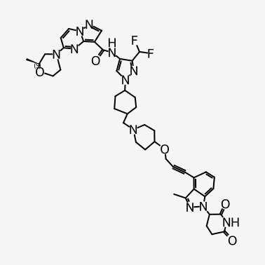 Cc1nn(C2CCC(=O)NC2=O)c2cccc(C#CCOC3CCN(CC4CCC(n5cc(NC(=O)c6cnn7ccc(N8CCO[C@@H](C)C8)nc67)c(C(F)F)n5)CC4)CC3)c12